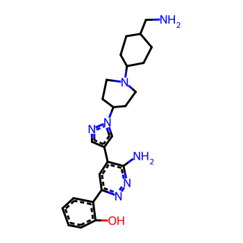 NCC1CCC(N2CCC(n3cc(-c4cc(-c5ccccc5O)nnc4N)cn3)CC2)CC1